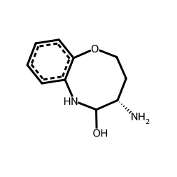 N[C@H]1CCOc2ccccc2NC1O